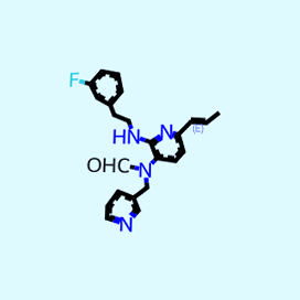 C/C=C/c1ccc(N(C=O)Cc2cccnc2)c(NCCc2cccc(F)c2)n1